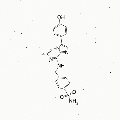 Cc1cn2c(-c3ccc(O)cc3)cnc2c(NCc2ccc(S(N)(=O)=O)cc2)n1